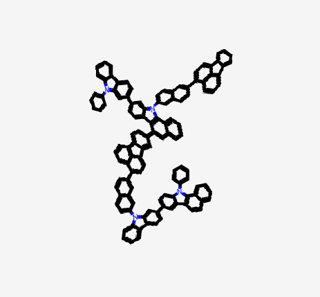 c1ccc(-n2c3ccccc3c3ccc(-c4ccc5c6c(-c7ccc8c(c7)-c7ccc(-c9ccc%10ccc(-n%11c%12ccccc%12c%12ccc(-c%13ccc%14c(c%13)c%13ccc%15ccccc%15c%13n%14-c%13ccccc%13)cc%12%11)cc%10c9)c9cccc-8c79)cc7ccccc7c6n(-c6ccc7cc(-c8ccc9c%10c(cccc8%10)-c8ccccc8-9)ccc7c6)c5c4)cc32)cc1